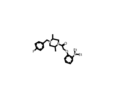 CCN(CC)c1ccccc1OCC(=O)N1CC(C)N(Cc2ccc(F)cc2)CC1C